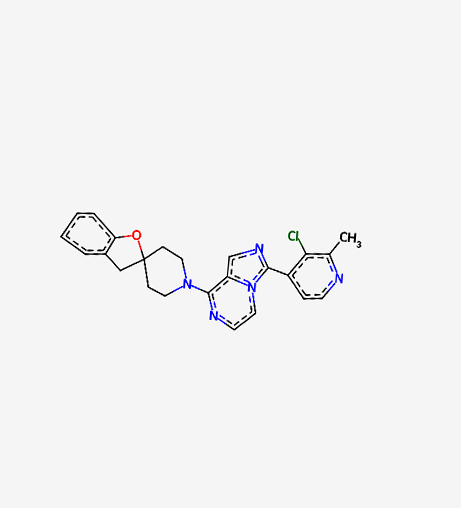 Cc1nccc(-c2ncc3c(N4CCC5(CC4)Cc4ccccc4O5)nccn23)c1Cl